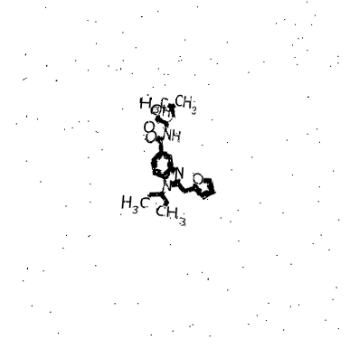 CCC(CC)n1c(Cc2ccco2)nc2cc(C(=O)N[C@@H](CC(C)C)C(=O)O)ccc21